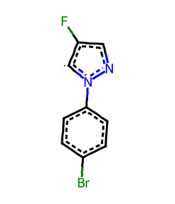 Fc1[c]n(-c2ccc(Br)cc2)nc1